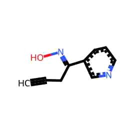 C#CC/C(=N\O)c1cccnc1